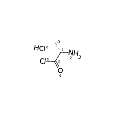 C[C@H](N)C(=O)Cl.Cl